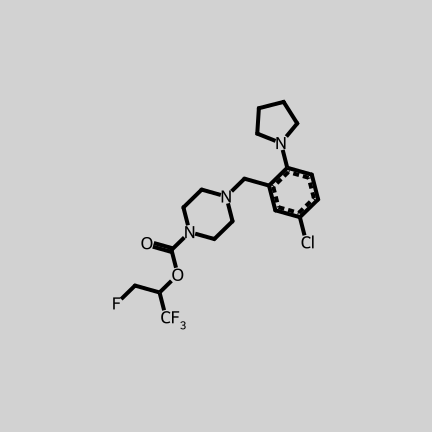 O=C(OC(CF)C(F)(F)F)N1CCN(Cc2cc(Cl)ccc2N2CCCC2)CC1